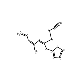 C#CCC/C(=C/C(=N\C=C)C(C)C)CC1=CN=CC1